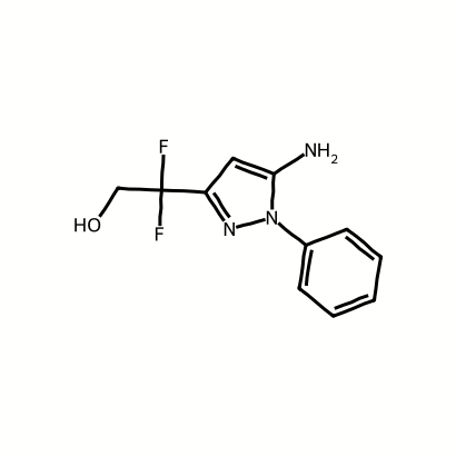 Nc1cc(C(F)(F)CO)nn1-c1ccccc1